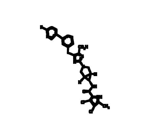 Cc1[nH]c(C(=O)N[C@H]2[C@@H]3CN(c4nc(Cc5cccc(-c6ccc(F)nc6)c5)c(C(=O)O)s4)C[C@@H]32)c(Cl)c1Cl